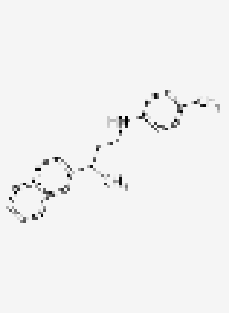 CC(CCNc1ccc(C(F)(F)F)cc1)c1ccc2ccccc2c1